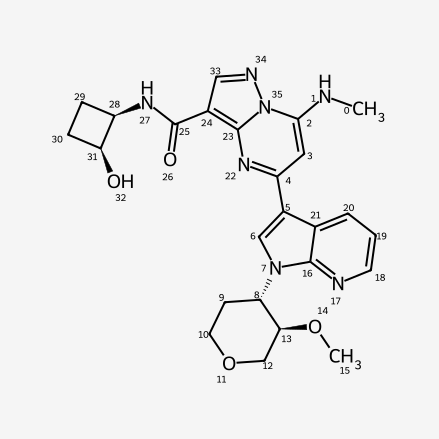 CNc1cc(-c2cn([C@H]3CCOC[C@@H]3OC)c3ncccc23)nc2c(C(=O)N[C@@H]3CC[C@@H]3O)cnn12